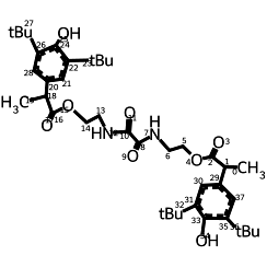 CC(C(=O)OCCNC(=O)C(=O)NCCOC(=O)C(C)c1cc(C(C)(C)C)c(O)c(C(C)(C)C)c1)c1cc(C(C)(C)C)c(O)c(C(C)(C)C)c1